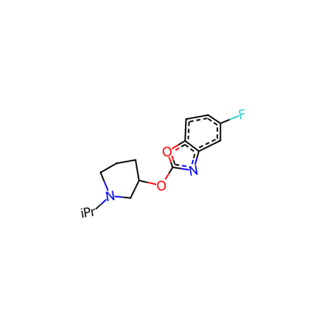 CC(C)N1CCCC(Oc2nc3cc(F)ccc3o2)C1